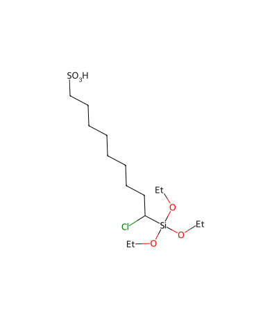 CCO[Si](OCC)(OCC)C(Cl)CCCCCCCCS(=O)(=O)O